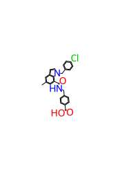 Cc1cc(C(=O)NCc2ccc(C(=O)O)cc2)c2c(ccn2Cc2ccc(Cl)cc2)c1